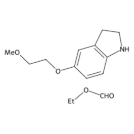 CCOC=O.COCCOc1ccc2c(c1)CCN2